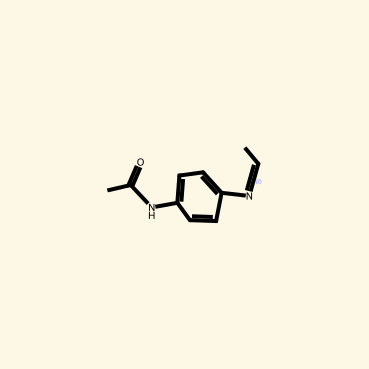 C/C=N\c1ccc(NC(C)=O)cc1